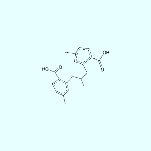 Cc1ccc(C(=O)O)c(CC(C)Cc2cc(C)ccc2C(=O)O)c1